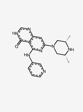 C[C@@H]1CN(c2cc3nc[nH]c(=O)c3c(Nc3cccnc3)n2)C[C@H](C)N1